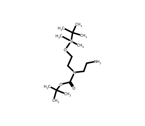 CC(C)(C)OC(=O)N(CCN)CCO[Si](C)(C)C(C)(C)C